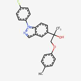 N#Cc1ccc(OCC(O)(c2ccc3c(cnn3-c3ccc(F)cc3)c2)C(F)(F)F)cc1